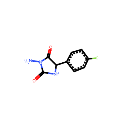 NN1C(=O)NC(c2ccc(F)cc2)C1=O